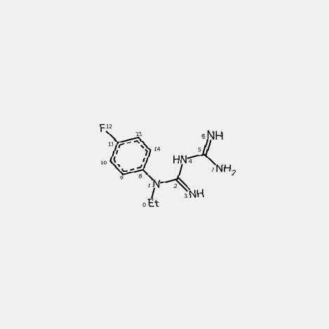 CCN(C(=N)NC(=N)N)c1ccc(F)cc1